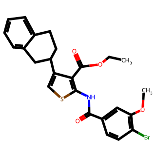 CCOC(=O)c1c(C2CCc3ccccc3C2)csc1NC(=O)c1ccc(Br)c(OC)c1